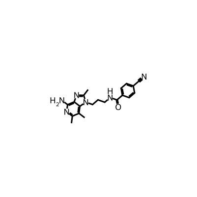 Cc1nc(N)c2nc(C)n(CCCNC(=O)c3ccc(C#N)cc3)c2c1C